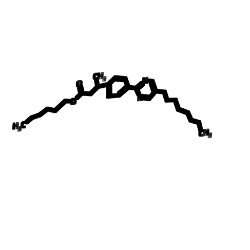 CCCCCCCCc1cnc(-c2ccc(C(C)CC(=O)OCCCCCC)cc2)nc1